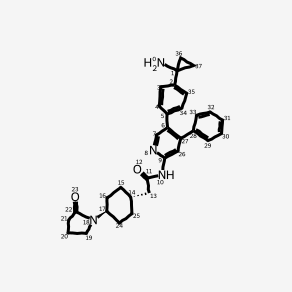 NC1(c2ccc(-c3cnc(NC(=O)C[C@H]4CC[C@H](N5CCCC5=O)CC4)cc3-c3ccccc3)cc2)CC1